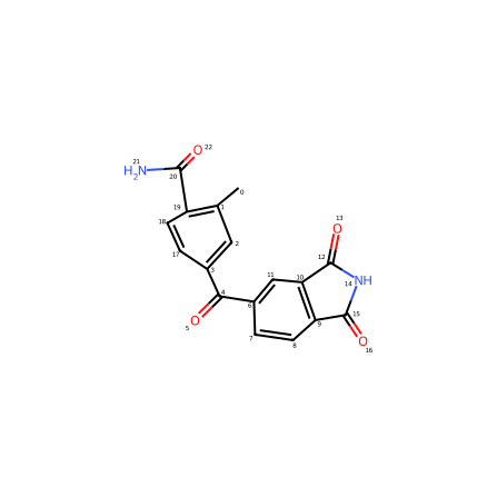 Cc1cc(C(=O)c2ccc3c(c2)C(=O)NC3=O)ccc1C(N)=O